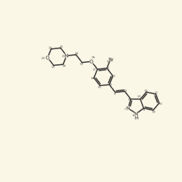 Brc1cc(/C=C/c2n[nH]c3ccccc23)ccc1OCCN1CCOCC1